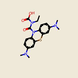 CCN(C(=O)O)C(=O)N1c2ccc(N(C)C)cc2Sc2cc(N(C)C)ccc21